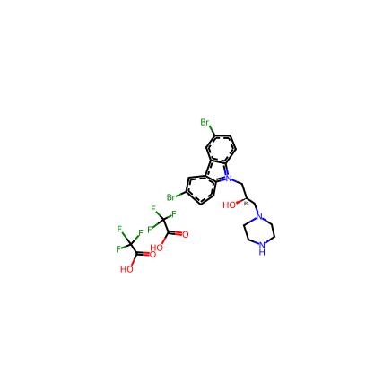 O=C(O)C(F)(F)F.O=C(O)C(F)(F)F.O[C@H](CN1CCNCC1)Cn1c2ccc(Br)cc2c2cc(Br)ccc21